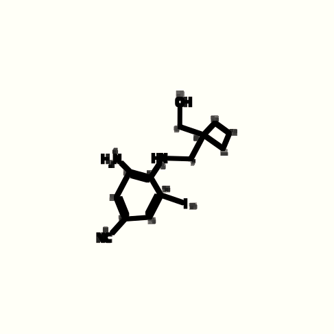 N#Cc1cc(N)c(NCC2(CO)CCC2)c(I)c1